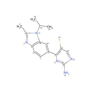 Cc1nc2ccc(-c3nc(N)ncc3F)cc2n1C(C)C